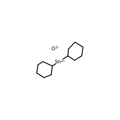 C1CC[CH]([Sn+2][CH]2CCCCC2)CC1.[O-2]